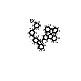 Brc1cccc(-c2cccc(-c3ccc4c5ccccc5n(-c5ccc6c(c5)-c5ccccc5C6(c5ccccc5)c5ccccc5)c4c3)c2)c1